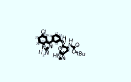 CC(C)(C)OC(=O)NC(Cc1c[nH]cn1)C(=O)Nc1cccc(-c2nc(N)nc3ccc(Cl)cc23)c1